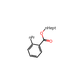 CCCCCCCOC(=O)c1ccccc1CCC